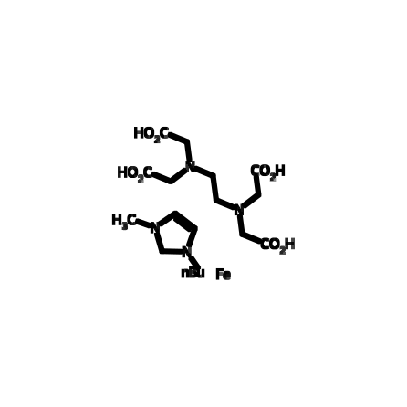 CCCCN1C=CN(C)C1.O=C(O)CN(CCN(CC(=O)O)CC(=O)O)CC(=O)O.[Fe]